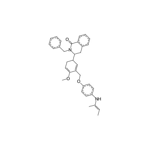 C/C=C(\C)Nc1ccc(OCC2=CC(C3Cc4ccccc4C(=O)N3Cc3ccccc3)CC=C2OC)cc1